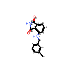 Cc1cccc(CNc2cccc3c2C(=O)NC3=O)c1